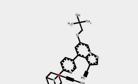 C#Cc1cnn2cc(OCC(C)(C)O)cc(-c3ccc(N4CC5CC(C4)N5CC#CC)nc3)c12